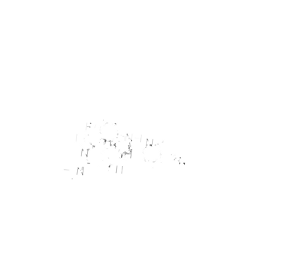 CO[C@@]1([C@@H](C)S)CC(N)=N[C@]1(C)c1cc(NC(=O)c2ccc(C#N)cn2)ccc1F